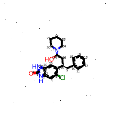 O=c1[nH]c2cc(Cl)c([C@H](Cc3ccccc3)CC(O)N3CCCCC3)cc2[nH]1